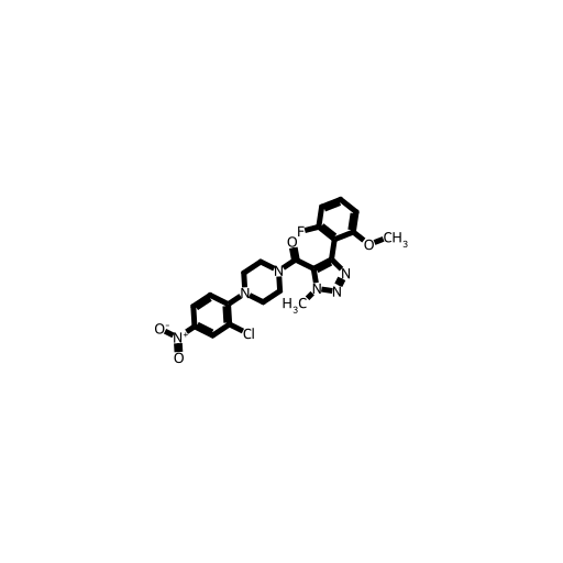 COc1cccc(F)c1-c1nnn(C)c1C(=O)N1CCN(c2ccc([N+](=O)[O-])cc2Cl)CC1